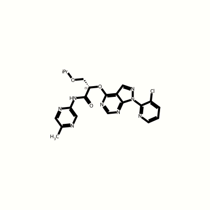 Cc1cnc(NC(=O)[C@H](COC(C)C)Oc2ncnc3c2cnn3-c2ncccc2Cl)cn1